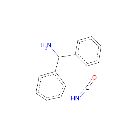 N=C=O.NC(c1ccccc1)c1ccccc1